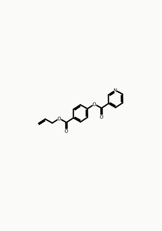 C=CCOC(=O)c1ccc(OC(=O)c2cccnc2)cc1